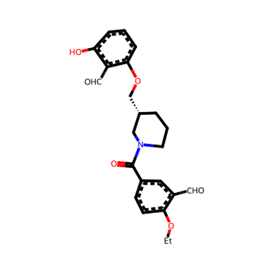 CCOc1ccc(C(=O)N2CCC[C@@H](COc3cccc(O)c3C=O)C2)cc1C=O